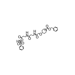 O=C(CCNC(=O)COC1CCN(C(=O)OCc2ccccc2)CC1)NCCC(=O)ONS(=O)(=O)c1ccccc1